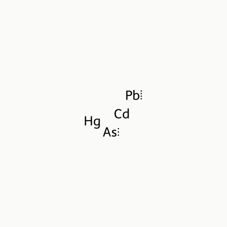 [As].[Cd].[Hg].[Pb]